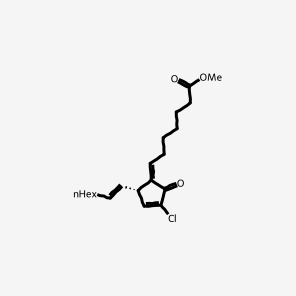 CCCCCC/C=C/[C@H]1C=C(Cl)C(=O)/C1=C\CCCCCC(=O)OC